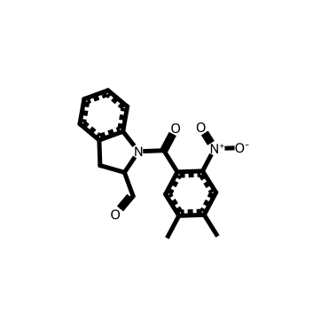 Cc1cc(C(=O)N2c3ccccc3CC2C=O)c([N+](=O)[O-])cc1C